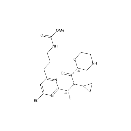 CCc1cc(CCCNC(=O)OC)nc([C@@H](C)N(C(=O)[C@H]2CNCCO2)C2CC2)n1